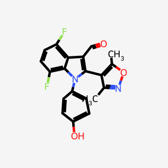 Cc1noc(C)c1-c1c(C=O)c2c(F)ccc(F)c2n1-c1ccc(O)cc1